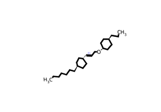 CCCCCCC[C@H]1CC[C@H](/C=C/CO[C@H]2CC[C@H](CCC)CC2)CC1